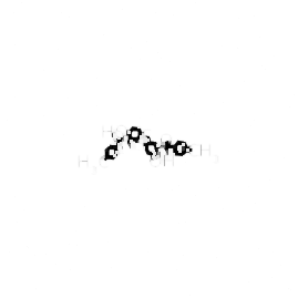 Cc1ccc(C(=O)Nc2cc(Sc3ccc(O)c(NC(=O)c4ccc(C)cc4)c3)ccc2O)cc1